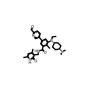 CCN(c1cc(-c2ccc(C=O)nc2)cc(C(=O)NCc2c(C)cc(C)[nH]c2=O)c1C)[C@H]1CC[C@H](N(C)C)CC1